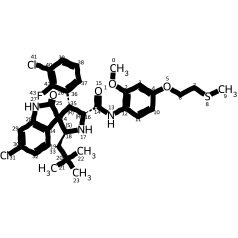 COc1cc(OCCSC)ccc1NC(=O)[C@@H]1N[C@@H](CC(C)(C)C)C2(C(=O)Nc3cc(Cl)ccc32)[C@@H]1c1cccc(Cl)c1F